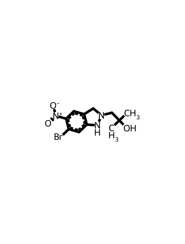 CC(C)(O)CN1Cc2cc([N+](=O)[O-])c(Br)cc2N1